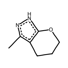 Cc1n[nH]c2c1CCCO2